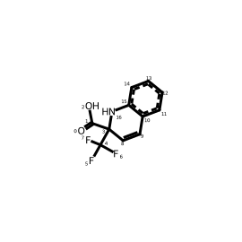 O=C(O)C1(C(F)(F)F)C=Cc2ccccc2N1